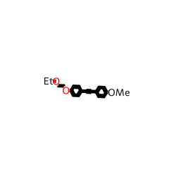 CCOCCOc1ccc(C#Cc2ccc(OC)cc2)cc1